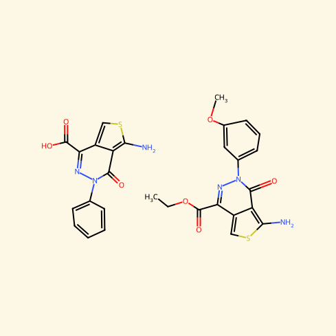 CCOC(=O)c1nn(-c2cccc(OC)c2)c(=O)c2c(N)scc12.Nc1scc2c(C(=O)O)nn(-c3ccccc3)c(=O)c12